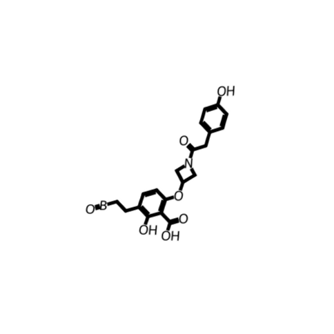 O=BCCc1ccc(OC2CN(C(=O)Cc3ccc(O)cc3)C2)c(C(=O)O)c1O